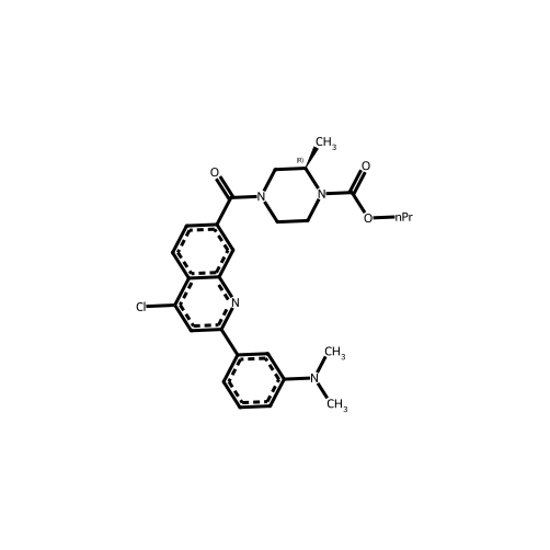 CCCOC(=O)N1CCN(C(=O)c2ccc3c(Cl)cc(-c4cccc(N(C)C)c4)nc3c2)C[C@H]1C